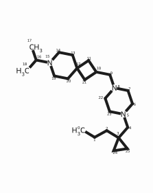 CCCC1(CN2CCN(CC3CC4(CCN(C(C)C)CC4)C3)CC2)CC1